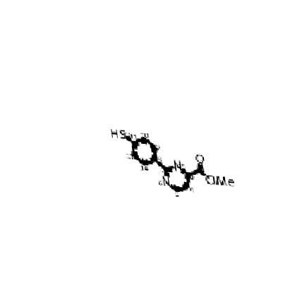 COC(=O)c1ccnc(-c2ccc(S)cc2)n1